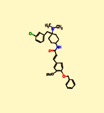 COc1cc(C=CC(=O)NC2CCC(Cc3cccc(Cl)c3)(N(C)C)CC2)ccc1OCc1ccccc1